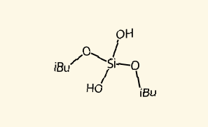 CCC(C)O[Si](O)(O)OC(C)CC